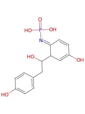 O=P(O)(O)/N=C1\C=CC(O)=CC1C(O)Cc1ccc(O)cc1